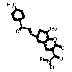 CCN(CC)C(=O)c1cc2cc(/C=C/C(=O)c3ccc(C)cc3)cc(C(C)(C)C)c2oc1=O